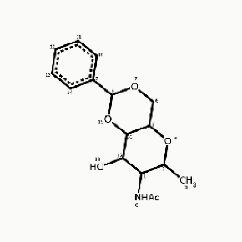 CC(=O)NC1C(C)OC2COC(c3ccccc3)OC2C1O